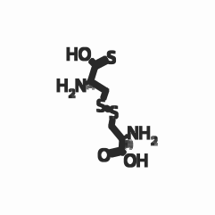 N[C@@H](CSSC[C@H](N)C(O)=S)C(=O)O